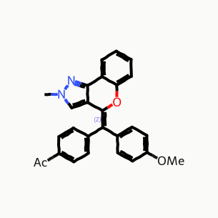 COc1ccc(/C(=C2\Oc3ccccc3-c3nn(C)cc32)c2ccc(C(C)=O)cc2)cc1